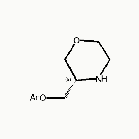 CC(=O)OC[C@@H]1COCCN1